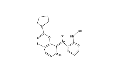 C=C1C=CC(I)=C(OC(=O)N2CCCC2)/C1=[N+](\[O-])c1ccccc1NO